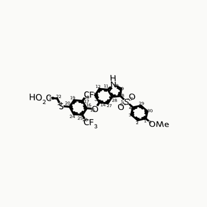 COc1ccc(S(=O)(=O)c2c[nH]c3ccc(Oc4c(C(F)(F)F)cc(SCC(=O)O)cc4C(F)(F)F)cc23)cc1